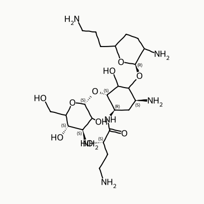 NCCCC1CCC(N)[C@@H](OC2C(O)[C@@H](O[C@H]3OC(CO)[C@@H](O)[C@H](N)C3O)[C@H](NC(=O)[C@@H](O)CCN)C[C@@H]2N)O1